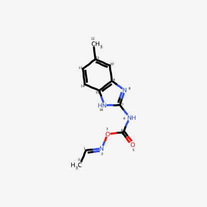 CC=NOC(=O)Nc1nc2cc(C)ccc2[nH]1